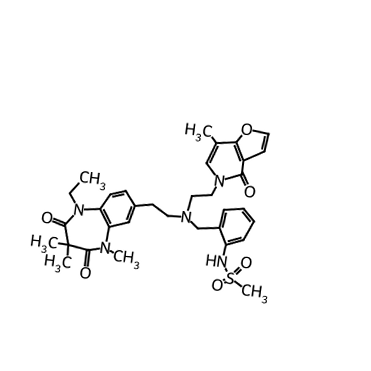 CCN1C(=O)C(C)(C)C(=O)N(C)c2cc(CCN(CCn3cc(C)c4occc4c3=O)Cc3ccccc3NS(C)(=O)=O)ccc21